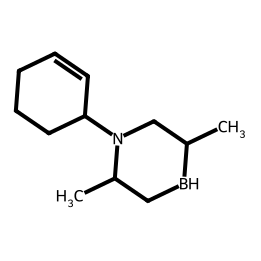 CC1BCC(C)N(C2C=CCCC2)C1